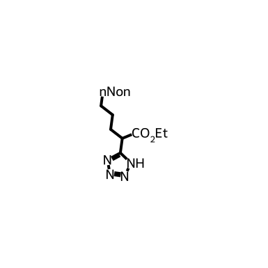 CCCCCCCCCCCCC(C(=O)OCC)c1nnn[nH]1